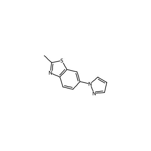 Cc1nc2ccc(-n3cccn3)cc2s1